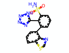 NS(=O)(=O)c1cccc(-c2cccc3scnc23)c1-c1nnn[nH]1